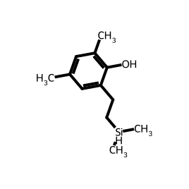 Cc1cc(C)c(O)c(CC[SiH](C)C)c1